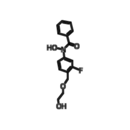 O=C(c1ccccc1)N(O)c1ccc(COCCO)c(F)c1